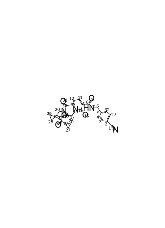 N#Cc1ccc(CNC(=O)c2ccc3n(c2=O)CCN(CC2(S(=O)(=O)C4CC4)CC2)C3=O)cc1